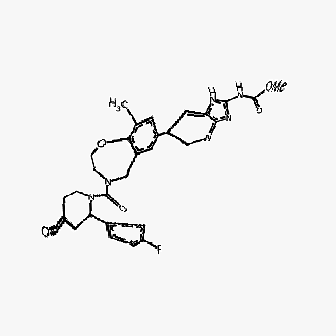 COC(=O)Nc1nc2c([nH]1)=CC(c1cc(C)c3c(c1)CN(C(=O)N1CCC(=O)CC1c1ccc(F)cc1)CCO3)CN=2